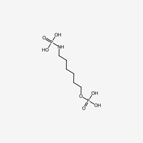 O=P(O)(O)NCCCCCCOP(=O)(O)O